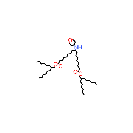 CCCCCCC(CCCCCC)COC(=O)CCCCCCCC(CCCCCCCC(=O)OCC(CCCCCC)CCCCCC)NC1CCOCC1